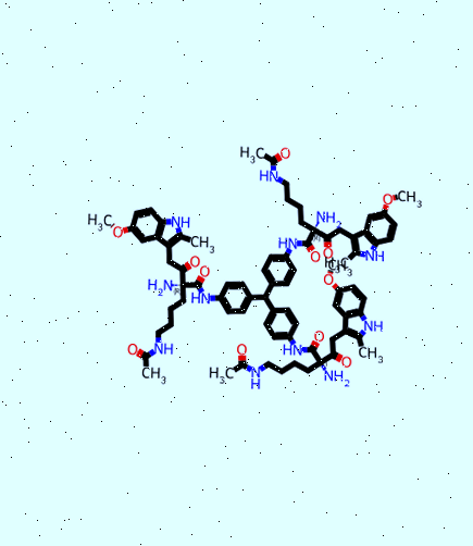 COc1ccc2[nH]c(C)c(CC(=O)[C@](N)(CCCCNC(C)=O)C(=O)Nc3ccc(C(c4ccc(NC(=O)[C@@](N)(CCCCNC(C)=O)C(=O)Cc5c(C)[nH]c6ccc(OC)cc56)cc4)c4ccc(NC(=O)[C@@](N)(CCCCNC(C)=O)C(=O)Cc5c(C)[nH]c6ccc(OC)cc56)cc4)cc3)c2c1